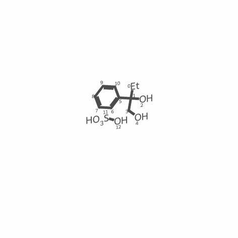 CCC(O)(CO)c1ccccc1.O=S(=O)(O)O